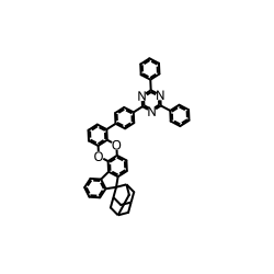 c1ccc(-c2nc(-c3ccccc3)nc(-c3ccc(-c4cccc5c4Oc4ccc6c(c4O5)-c4ccccc4C64C5CC6CC(C5)CC4C6)cc3)n2)cc1